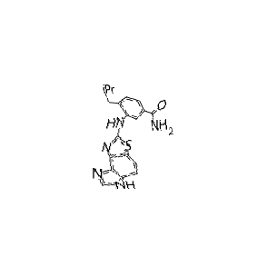 CC(C)Cc1ccc(C(N)=O)cc1Nc1nc2c(ccc3[nH]cnc32)s1